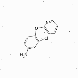 Nc1ccc(Oc2ccccn2)c(Cl)c1